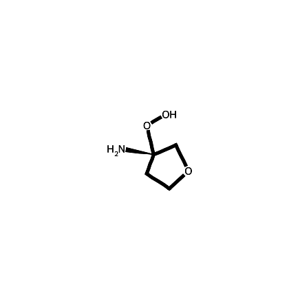 N[C@]1(OO)CCOC1